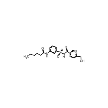 CCCCCC(=O)Nc1cccc(S(=O)(=O)NC(=O)c2ccc(CO)nc2)c1